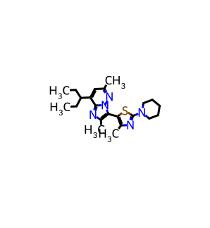 CCC(CC)c1cc(C)nn2c(-c3sc(N4CCCCC4)nc3C)c(C)nc12